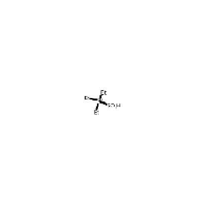 CC[N+](CC)(CC)S(=O)(=O)O